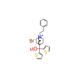 OC(c1cccs1)(c1cccs1)C12CC[N+](CCc3ccccc3)(CC1)CC2.[Br-]